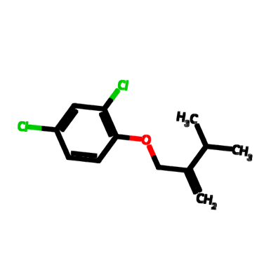 C=C(COc1ccc(Cl)cc1Cl)C(C)C